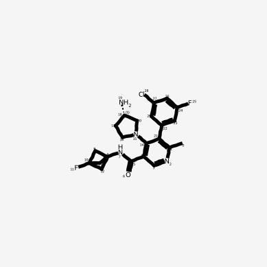 Cc1ncc(C(=O)NC23CC(F)(C2)C3)c(N2CC[C@H](N)C2)c1-c1cc(F)cc(Cl)c1